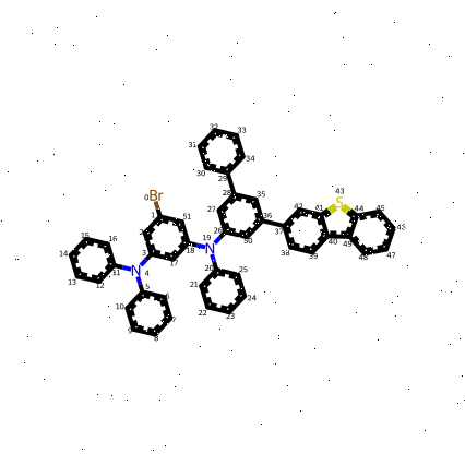 Brc1cc(N(c2ccccc2)c2ccccc2)cc(N(c2ccccc2)c2cc(-c3ccccc3)cc(-c3ccc4c(c3)sc3ccccc34)c2)c1